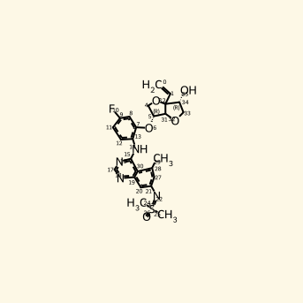 C=CC12OC[C@@H](Oc3cc(F)ccc3Nc3ncnc4cc(N=S(C)(C)=O)cc(C)c34)C1OC[C@H]2O